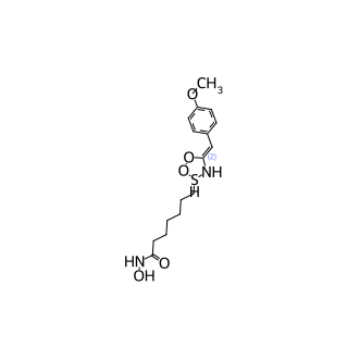 COc1ccc(/C=C2/N[SH](CCCCCCC(=O)NO)OO2)cc1